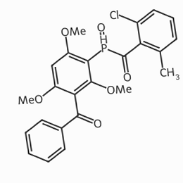 COc1cc(OC)c([PH](=O)C(=O)c2c(C)cccc2Cl)c(OC)c1C(=O)c1ccccc1